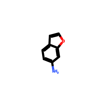 Nc1ccc2c[c]oc2c1